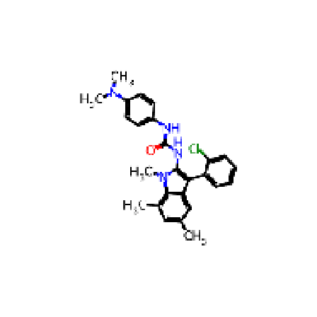 Cc1cc(C)c2c(c1)c(-c1ccccc1Cl)c(NC(=O)Nc1ccc(N(C)C)cc1)n2C